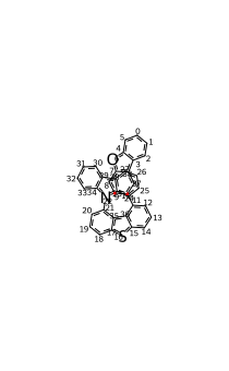 c1ccc2c(c1)oc1ccc(-c3cccc4sc5cccc(-n6c7ccccc7c7ccccc76)c5c34)cc12